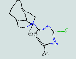 CCOC(=O)CC1C2CCC1CN(c1cc(C(F)(F)F)nc(Cl)n1)C2